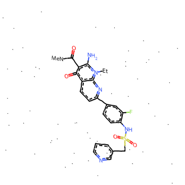 CCn1c(N)c(C(=O)NC)c(=O)c2ccc(-c3ccc(NS(=O)(=O)Cc4cccnc4)c(F)c3)nc21